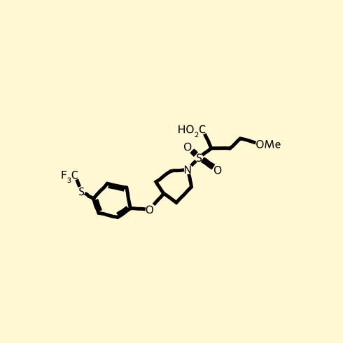 COCCC(C(=O)O)S(=O)(=O)N1CCC(Oc2ccc(SC(F)(F)F)cc2)CC1